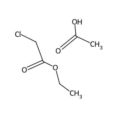 CC(=O)O.CCOC(=O)CCl